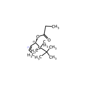 C/C=C\[C@@H](OC(=O)CC)[Si](C)(C)C(C)(C)C